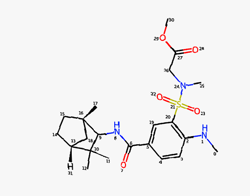 CNc1ccc(C(=O)NC2C(C)(C)[C@@H]3CC[C@@]2(C)C3)cc1S(=O)(=O)N(C)CC(=O)OC